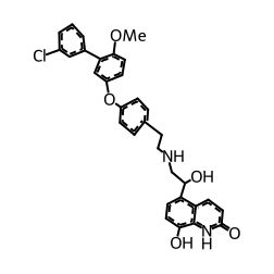 COc1ccc(Oc2ccc(CCNCC(O)c3ccc(O)c4[nH]c(=O)ccc34)cc2)cc1-c1cccc(Cl)c1